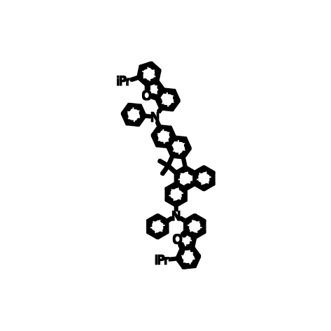 CC(C)c1cccc2c1oc1c(N(c3ccccc3)c3ccc4c5c(ccc4c3)-c3c(c4ccc(N(c6ccccc6)c6cccc7c6oc6c(C(C)C)cccc67)cc4c4ccccc34)C5(C)C)cccc12